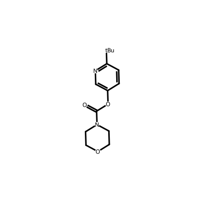 CC(C)(C)c1ccc(OC(=O)N2CCOCC2)cn1